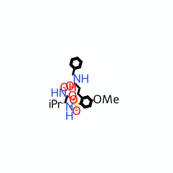 COc1ccc(S(=O)(=O)N[C@@H](C(=O)NO)C(C)C)c(CCC(=O)NCc2ccccc2)c1